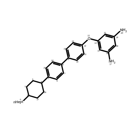 CCCCCCCC1CCC(c2ccc(-c3ccc(Oc4cc(N)cc(N)c4)cc3)cc2)CC1